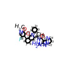 COc1cc(-c2cccc3cc([C@H](C)NC(=O)c4c(N)nn5cccnc45)n(-c4ccccc4)c(=O)c23)c(F)cn1